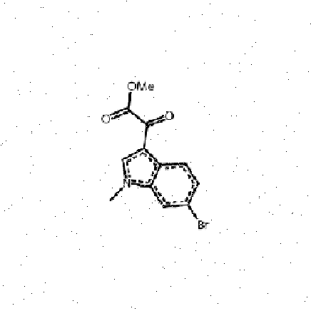 COC(=O)C(=O)c1cn(C)c2cc(Br)ccc12